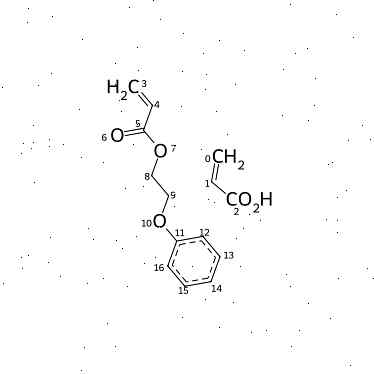 C=CC(=O)O.C=CC(=O)OCCOc1ccccc1